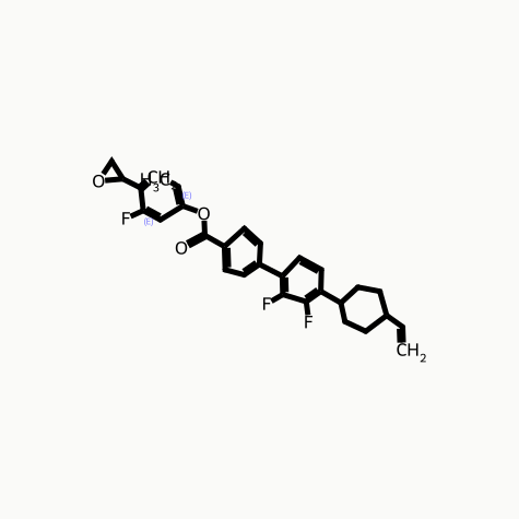 C=CC1CCC(c2ccc(-c3ccc(C(=O)OC(=C/C)/C=C(/F)C(=C)C4CO4)cc3)c(F)c2F)CC1